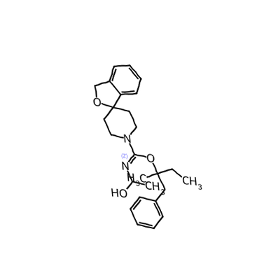 CCC(C)(Cc1ccccc1)O/C(=N\C(C)O)N1CCC2(CC1)OCc1ccccc12